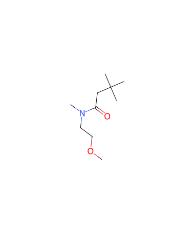 COCCN(C)C(=O)CC(C)(C)C